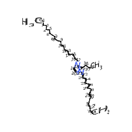 CCCCCCCCCCCCCCCCCCN1C=CN(CCCCCCCCCCCCC)C1CCC